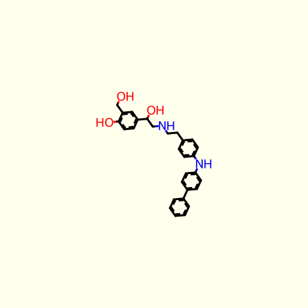 OCc1cc(C(O)CNCCc2ccc(Nc3ccc(-c4ccccc4)cc3)cc2)ccc1O